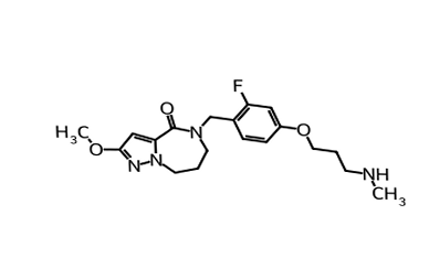 CNCCCOc1ccc(CN2CCCn3nc(OC)cc3C2=O)c(F)c1